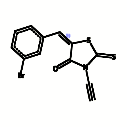 C#CN1C(=O)/C(=C\c2cccc(Br)c2)SC1=S